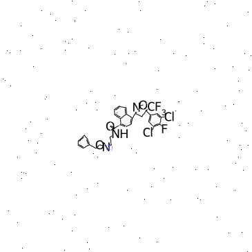 O=C(NC/C=N\OCc1ccccc1)c1ccc(C2=NOC(c3cc(Cl)c(F)c(Cl)c3)(C(F)(F)F)C2)c2ccccc12